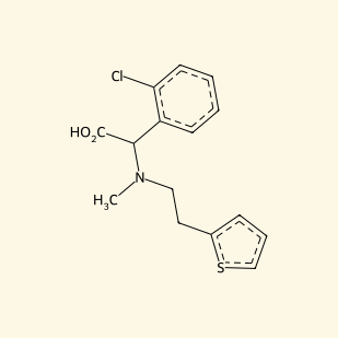 CN(CCc1cccs1)C(C(=O)O)c1ccccc1Cl